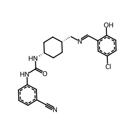 N#Cc1cccc(NC(=O)N[C@H]2CC[C@@H](CN=Cc3cc(Cl)ccc3O)CC2)c1